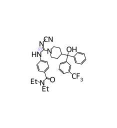 CCN(CC)C(=O)c1ccc(N/C(=N/C#N)N2CCC(C(O)(c3ccccc3)c3cccc(C(F)(F)F)c3)CC2)cc1